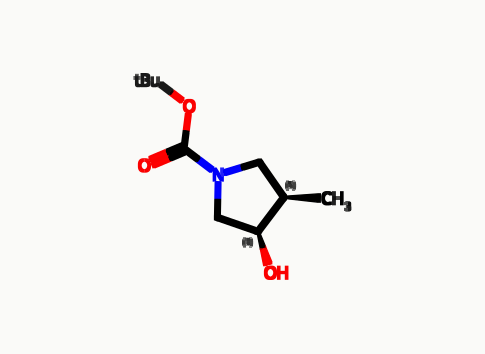 C[C@@H]1CN(C(=O)OC(C)(C)C)C[C@@H]1O